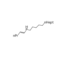 CCCC=CPCCCCCCCCCCCC